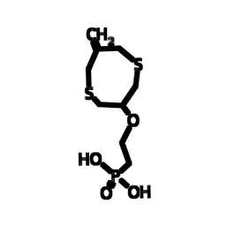 C=C1CSCC(OCCP(=O)(O)O)CSC1